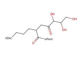 CCCCCCCCCCCCCC(CC(=O)C(O)C(O)CO)C(=O)CCCCC